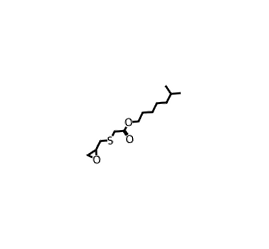 CC(C)CCCCCOC(=O)CSCC1CO1